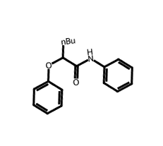 CCCCC(Oc1ccccc1)C(=O)Nc1ccccc1